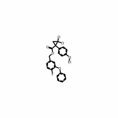 CCOc1ccc(C2(C(=O)OCc3ccc(F)c(Oc4ccccc4)c3)CC2(Cl)Cl)cc1